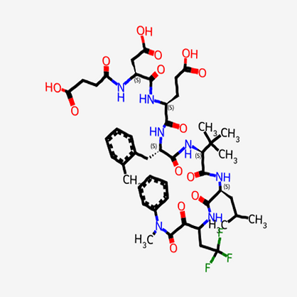 Cc1ccccc1C[C@H](NC(=O)[C@H](CCC(=O)O)NC(=O)[C@H](CC(=O)O)NC(=O)CCC(=O)O)C(=O)N[C@H](C(=O)N[C@@H](CC(C)C)C(=O)NC(CC(F)(F)F)C(=O)C(=O)N(C)c1ccccc1)C(C)(C)C